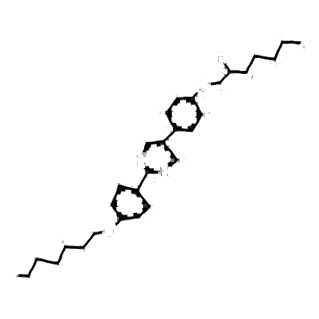 CCCCCCCOc1ccc(-c2ncc(-c3ccc(OCC(F)CCCCC)cc3)cn2)cc1